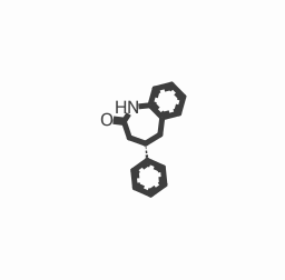 O=C1C[C@@H](c2ccccc2)Cc2ccccc2N1